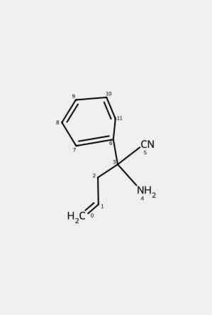 C=CCC(N)(C#N)c1ccccc1